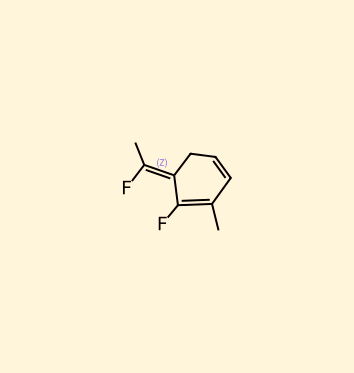 CC1=C(F)/C(=C(/C)F)CC=C1